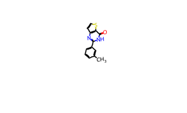 Cc1cccc(-c2nc3ccsc3c(=O)[nH]2)c1